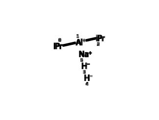 C[CH](C)[Al+][CH](C)C.[H-].[H-].[Na+]